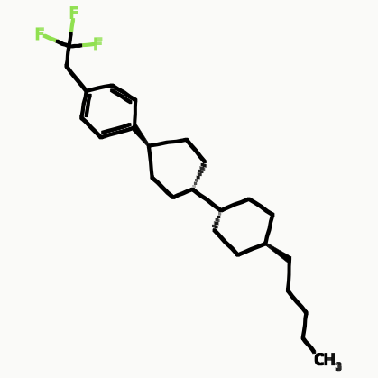 CCCCC[C@H]1CC[C@H]([C@H]2CC[C@H](c3ccc(CC(F)(F)F)cc3)CC2)CC1